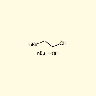 CCCCCCO.CCCCO